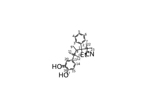 CCC(c1ccccc1)(C(C)C(C)(C)c1ccc(O)c(O)c1)C(C)(C)C#N